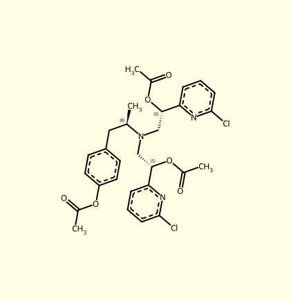 CC(=O)Oc1ccc(C[C@@H](C)N(C[C@H](OC(C)=O)c2cccc(Cl)n2)C[C@H](OC(C)=O)c2cccc(Cl)n2)cc1